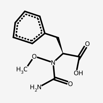 CON(C(N)=O)[C@@H](Cc1ccccc1)C(=O)O